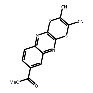 COC(=O)c1ccc2nc3c(nc2c1)SC(C#N)=C(C#N)S3